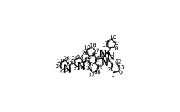 c1ccc(-c2nc(-c3ccccc3)nc(-c3c4ccccc4c(-c4ccc(-c5ccccn5)cn4)c4ccccc34)n2)cc1